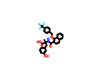 CC(Cc1cccc(O)c1)(NC(=O)c1ccc2ccccc2c1OCc1ccc(C(F)(F)F)cc1)C(=O)O